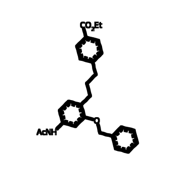 CCOC(=O)c1ccc(CCCc2ccc(NC(C)=O)cc2OCc2ccccc2)cc1